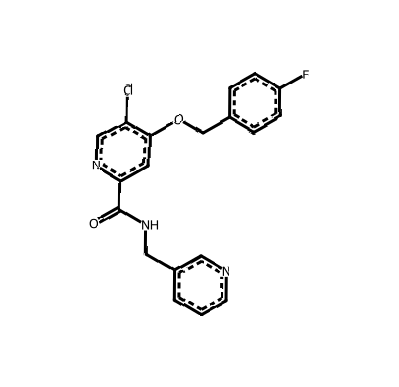 O=C(NCc1cccnc1)c1cc(OCc2ccc(F)cc2)c(Cl)cn1